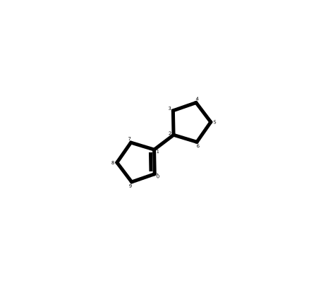 [C]1=C(C2CCCC2)CCC1